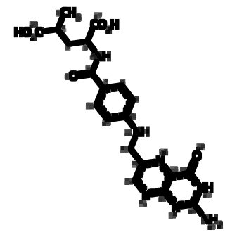 CC(CC(NC(=O)c1ccc(NCc2cnc3nc(N)[nH]c(=O)c3n2)cc1)C(=O)O)C(=O)O